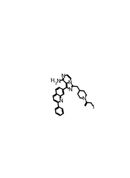 C=C(CI)N1CCC(Cc2nc(-c3ccc4ccc(-c5ccccc5)nc4c3)c3c(N)nccn23)CC1